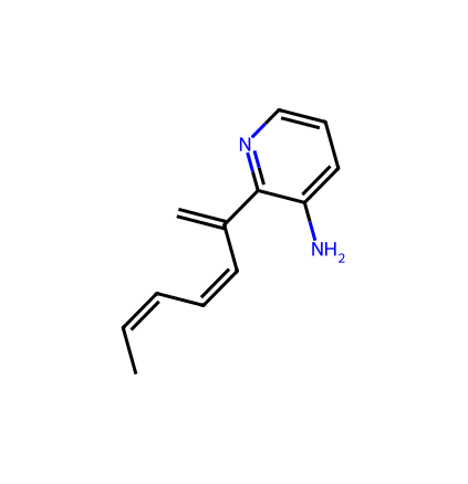 C=C(/C=C\C=C/C)c1ncccc1N